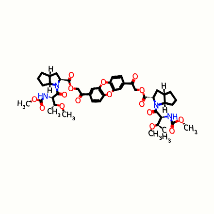 COC(=O)N[C@H](C(=O)N1[C@@H]2CCC[C@@H]2C[C@H]1C(=O)OCC(=O)c1ccc2c(c1)Oc1ccc(C(=O)COC(=O)[C@@H]3C[C@@H]4CCC[C@@H]4N3C(=O)[C@@H](NC(=O)OC)[C@@H](C)OC)cc1O2)[C@@H](C)OC